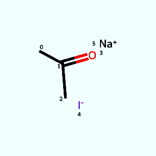 CC(C)=O.[I-].[Na+]